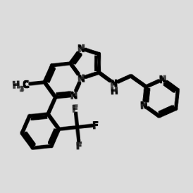 Cc1cc2ncc(NCc3ncccn3)n2nc1-c1ccccc1C(F)(F)F